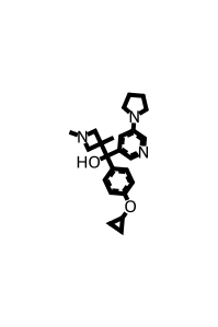 CN1CC(C)(C(O)(c2ccc(OC3CC3)cc2)c2cncc(N3CCCC3)c2)C1